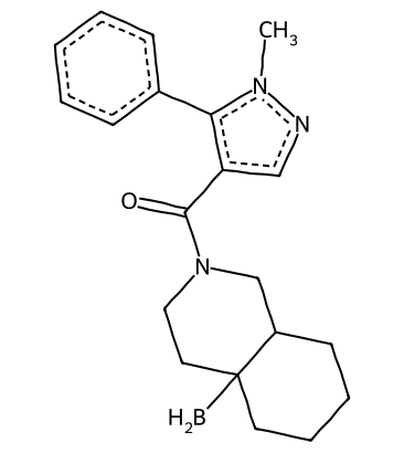 BC12CCCCC1CN(C(=O)c1cnn(C)c1-c1ccccc1)CC2